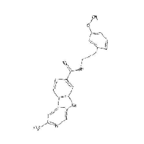 COc1cccc(CCNC(=O)c2ccc3c(c2)[nH]c2cnc(C)cc23)c1